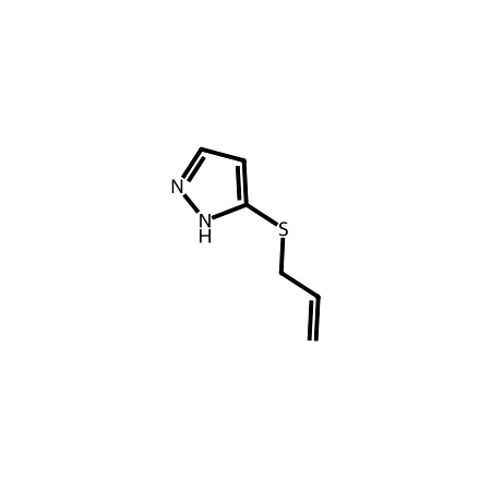 C=CCSc1ccn[nH]1